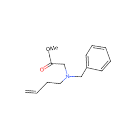 C=CCCN(CC(=O)OC)Cc1ccccc1